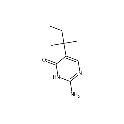 CCC(C)(C)c1cnc(N)[nH]c1=O